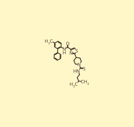 Cc1ccc(NC(=O)c2csc(C3CCN(C(=S)NCCC(C)C)CC3)n2)c(-c2ccccc2)c1